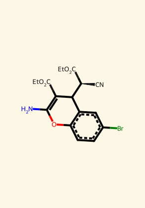 CCOC(=O)C1=C(N)Oc2ccc(Br)cc2C1[C@H](C#N)C(=O)OCC